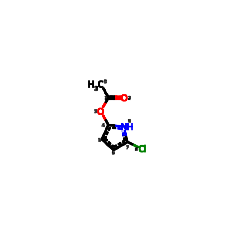 CC(=O)Oc1ccc(Cl)[nH]1